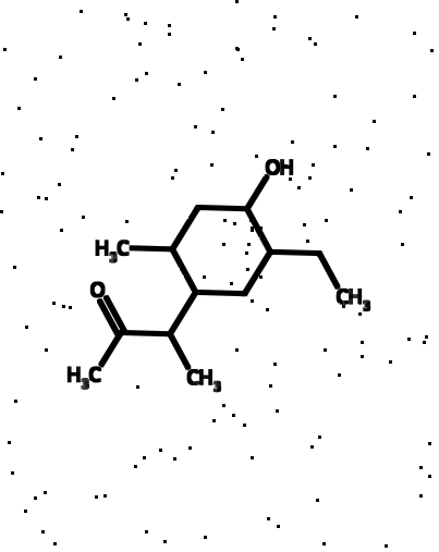 CCC1CC(C(C)C(C)=O)C(C)CC1O